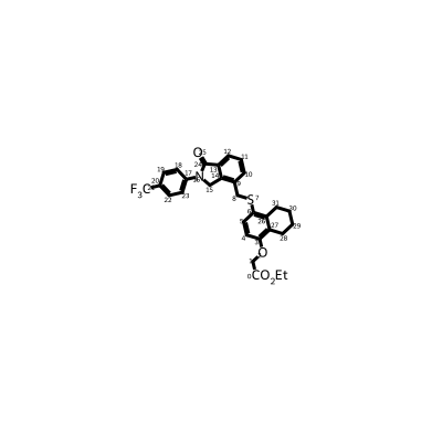 CCOC(=O)COc1ccc(SCc2cccc3c2CN(c2ccc(C(F)(F)F)cc2)C3=O)c2c1CCCC2